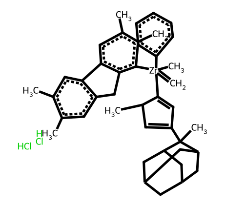 Cl.Cl.[CH2]=[Zr]([CH3])([C]1=CC(C2(C)C3CC4CC(C3)CC2C4)=CC1C)([c]1ccccc1)[c]1c(C)c(C)cc2c1Cc1cc(C)c(C)cc1-2